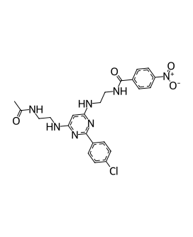 CC(=O)NCCNc1cc(NCCNC(=O)c2ccc([N+](=O)[O-])cc2)nc(-c2ccc(Cl)cc2)n1